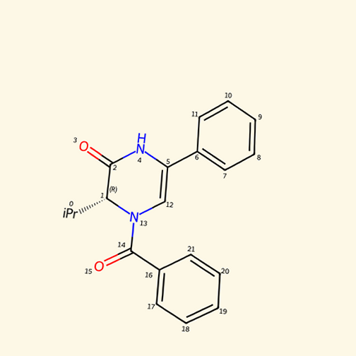 CC(C)[C@@H]1C(=O)NC(c2ccccc2)=CN1C(=O)c1ccccc1